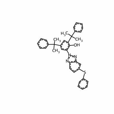 CC(C)(c1ccccc1)c1cc(-n2nc3ccc(Sc4ccccc4)cc3n2)c(O)c(C(C)(C)c2ccccc2)c1